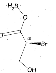 BOC(=O)[C@@H](Br)CO